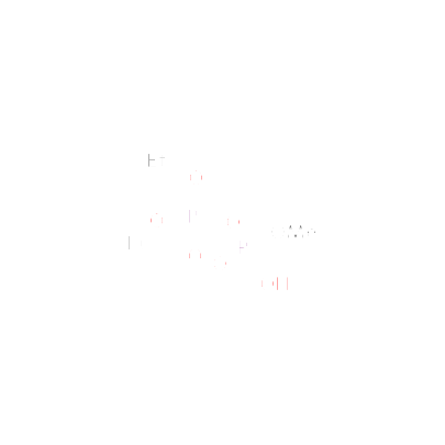 CCOP(=O)(OCC)OP(=O)(O)OC